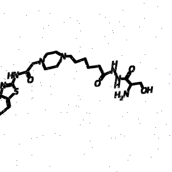 NC(CO)C(=O)NNC(=O)CCCCCN1CCN(CC(=O)Nc2nc3ccccc3s2)CC1